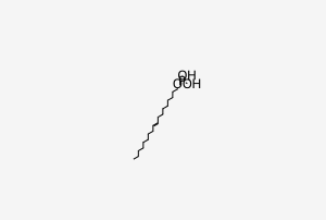 CCCCCCCC/C=C/CCCCCCCCOP(O)O